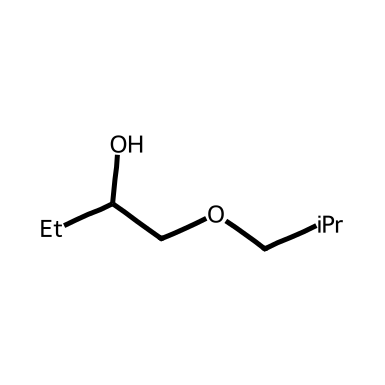 CCC(O)COCC(C)C